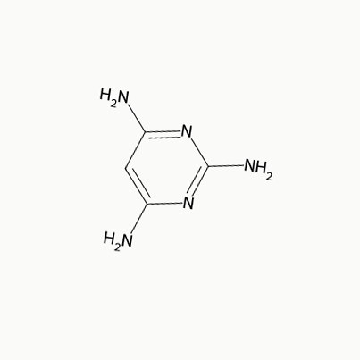 Nc1cc(N)nc(N)n1